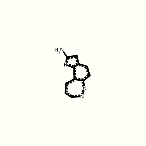 Nc1cc2ccc3nncccc3c2n1